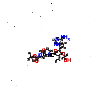 C=C[C@H]1[C@@H](OC(C)(C)O)[C@H](c2ccc3c(N)ncnn23)O[C@@H]1CN1CCOC2(C1)CN(C(=O)OC(C)(C)C)C2